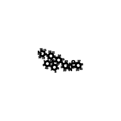 c1ccc(C2(c3ccccc3)c3cc(-c4ccncc4)ccc3-c3ccc(-c4ccc5nc6c7ccccc7oc6n5c4)cc32)cc1